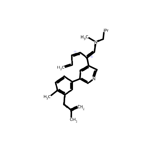 C=C/C=C\C(=C/N(C)CC(C)C)c1cncc(-c2ccc(C)c(CC(=C)C)c2)c1